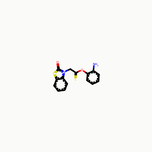 Nc1ccccc1OC(=S)Cn1c(=O)sc2ccccc21